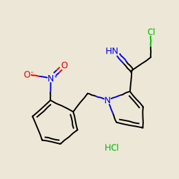 Cl.N=C(CCl)c1cccn1Cc1ccccc1[N+](=O)[O-]